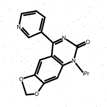 CC(C)n1c(=O)nc(-c2cccnc2)c2cc3c(cc21)OCO3